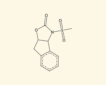 CS(=O)(=O)N1C(=O)OC2Cc3ccccc3C21